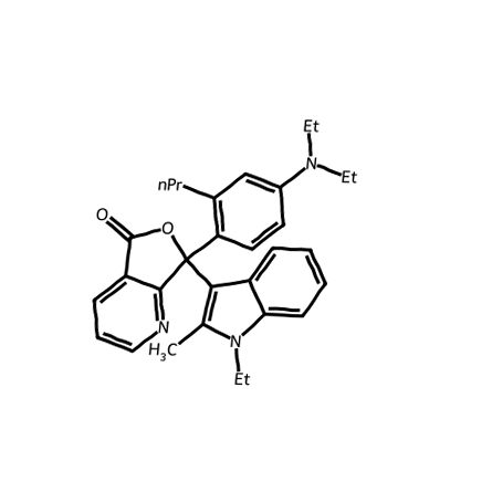 CCCc1cc(N(CC)CC)ccc1C1(c2c(C)n(CC)c3ccccc23)OC(=O)c2cccnc21